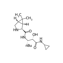 CCCC[C@H](NC(=O)[C@H]1NC[C@H]2[C@@H]1C2(C)C)[C@H](O)C(=O)NC1CC1